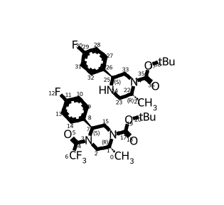 C[C@@H]1CN(C(=O)C(F)(F)F)[C@@H](c2ccc(F)cc2)CN1C(=O)OC(C)(C)C.C[C@@H]1CN[C@@H](c2ccc(F)cc2)CN1C(=O)OC(C)(C)C